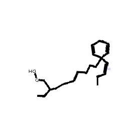 CC/C=C\C1(CCCCCCCC(CC)COO)C=CCC=C1